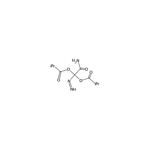 CC(C)C(=O)OC(N=N)(OC(=O)C(C)C)C(N)=O